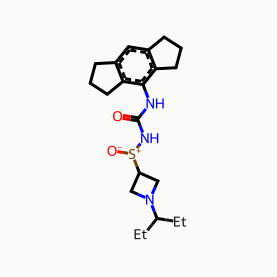 CCC(CC)N1CC([S+]([O-])NC(=O)Nc2c3c(cc4c2CCC4)CCC3)C1